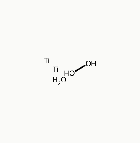 O.OO.[Ti].[Ti]